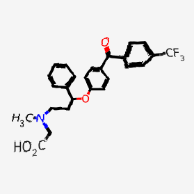 CN(CCC(Oc1ccc(C(=O)c2ccc(C(F)(F)F)cc2)cc1)c1ccccc1)CC(=O)O